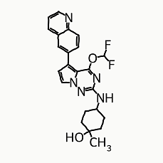 CC1(O)CCC(Nc2nc(OC(F)F)c3c(-c4ccc5ncccc5c4)ccn3n2)CC1